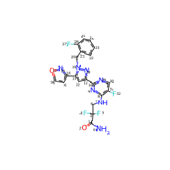 NC(=O)C(F)(F)CNc1nc(-c2cc(-c3ccon3)n(Cc3ccccc3F)n2)ncc1F